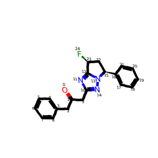 O=C(Cc1ccccc1)Cc1nc2n(n1)[C@H](c1ccccc1)C[C@@H]2F